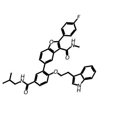 CNC(=O)c1c(-c2ccc(F)cc2)oc2ccc(-c3cc(C(=O)NCC(C)C)ccc3OCCc3c[nH]c4ccccc34)cc12